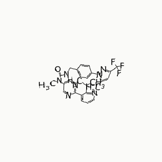 Cc1cc(C(F)(F)F)nn1-c1ccc(Cn2c(=O)n(C)c3cnc(-c4cccnc4C(C)C)nc32)cc1